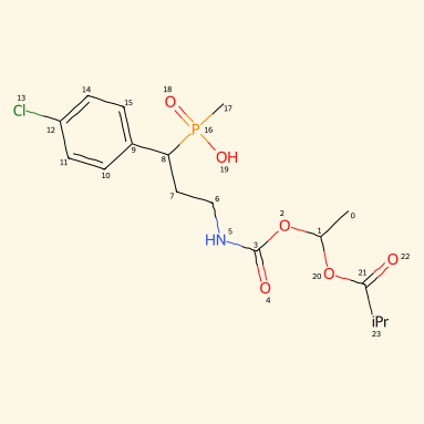 CC(OC(=O)NCCC(c1ccc(Cl)cc1)P(C)(=O)O)OC(=O)C(C)C